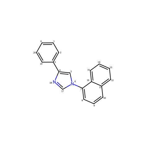 c1ccc(-c2cn(-c3cccc4ccccc34)cn2)cc1